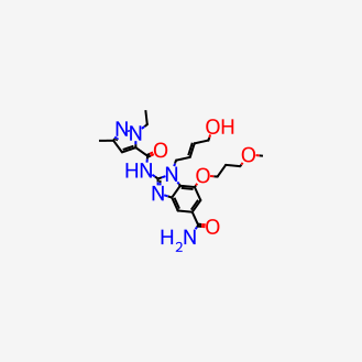 CCn1nc(C)cc1C(=O)Nc1nc2cc(C(N)=O)cc(OCCCOC)c2n1CC=CCO